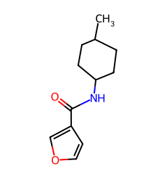 CC1CCC(NC(=O)c2ccoc2)CC1